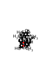 CC[C@H]1c2c3c(c(C)c(OC(C)=O)c2[C@]2(OC(=O)[C@]4(CS2)NCCc2c4[nH]c4ccc(O)cc24)C2[C@@H]4N[C@H](Cc5cc(C)c(OC)c(O)c54)[C@H](C#N)N21)OCO3